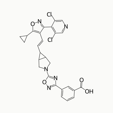 O=C(O)c1cccc(-c2noc(N3CC4C(C=Cc5c(-c6c(Cl)cncc6Cl)noc5C5CC5)C4C3)n2)c1